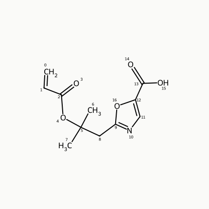 C=CC(=O)OC(C)(C)Cc1ncc(C(=O)O)o1